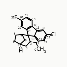 CC[C@H]1C[C@H]2CCC(C2)C12c1ccc(Cl)cc1-c1ccc(F)cc12